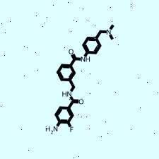 CN(C)Cc1ccc(NC(=O)c2cccc(CNC(=O)c3ccc(N)c(F)c3)c2)cc1